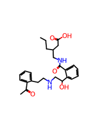 CCCC(CNC(=O)c1ccccc1C(O)CNCCc1ccccc1C(C)=O)CC(=O)O